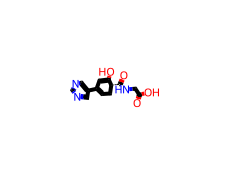 O=C(O)CNC(=O)[C@@H]1CC=C(c2cncnc2)C=C1O